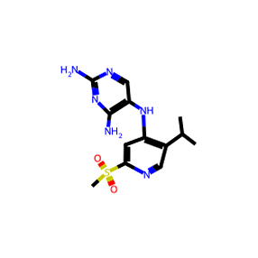 CC(C)c1cnc(S(C)(=O)=O)cc1Nc1cnc(N)nc1N